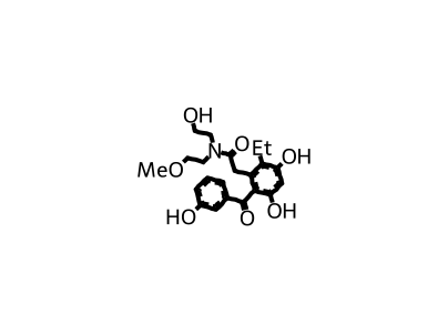 CCc1c(O)cc(O)c(C(=O)c2cccc(O)c2)c1CC(=O)N(CCO)CCOC